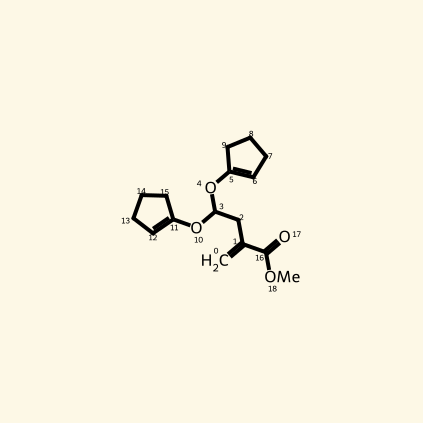 C=C(CC(OC1=CCCC1)OC1=CCCC1)C(=O)OC